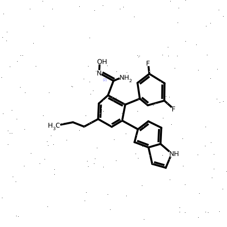 CCCc1cc(/C(N)=N/O)c(-c2cc(F)cc(F)c2)c(-c2ccc3[nH]ccc3c2)c1